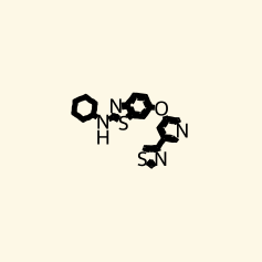 c1nc(-c2cncc(Oc3ccc4nc(NC5CCCCC5)sc4c3)c2)cs1